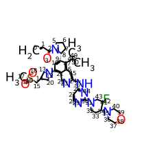 C=CC(=O)N1CCC[C@@H]1c1cc(N2CC(CS(C)(=O)=O)C2)c2cnc(Nc3ccnc(N4CC[C@@H](N5CCOCC5)[C@@H](F)C4)n3)cc2c1C(C)C